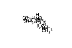 CN(C)c1cccc2c(S(=O)(=O)Nc3ccc(CN4CCOCC4)cc3)cccc12